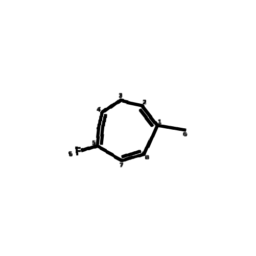 CC1=CCC=C(F)C=C1